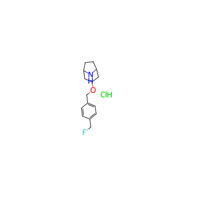 Cl.FCc1ccc(COC2CC3CCC(C2)N3)cc1